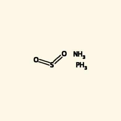 N.O=S=O.P